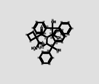 C[C@@H](N(C(=O)C1(C(N)=O)CCC1)[C@H](C)C(O)(c1ccccc1)c1ccccc1)C(O)(c1ccccc1)c1ccccc1